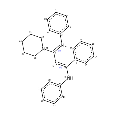 c1ccc(/N=C(/N=C(/Nc2ccccc2)c2ccccc2)N2CCCCC2)cc1